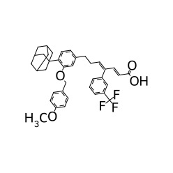 COc1ccc(COc2cc(CC/C=C(/C=C/C(=O)O)c3cccc(C(F)(F)F)c3)ccc2C23CC4CC(CC(C4)C2)C3)cc1